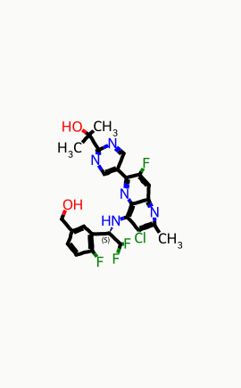 Cc1nc2cc(F)c(-c3cnc(C(C)(C)O)nc3)nc2c(N[C@@H](c2cc(CO)ccc2F)C(F)F)c1Cl